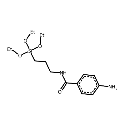 CCO[Si](CCCNC(=O)c1ccc(N)cc1)(OCC)OCC